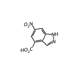 O=C(O)c1cc([N+](=O)[O-])cc2[nH]ncc12